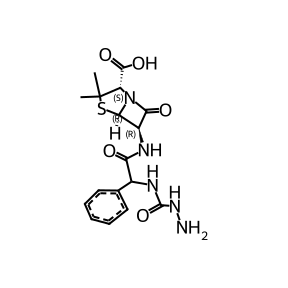 CC1(C)S[C@@H]2[C@H](NC(=O)C(NC(=O)NN)c3ccccc3)C(=O)N2[C@H]1C(=O)O